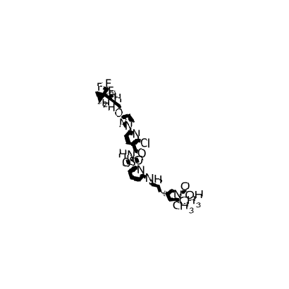 [2H]C([2H])(COc1ccn(-c2ccc(C(=O)NS(=O)(=O)c3cccc(NCCC[C@@H]4CN(C(=O)O)C(C)(C)C4)n3)c(Cl)n2)n1)C([2H])([2H])C1(C(F)(F)F)CC1